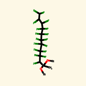 CCO[Si](C)(OCC)C(F)C(F)(F)C(F)(F)C(F)(F)C(F)(F)C(F)(F)C(F)(F)C(F)C(F)C(F)F